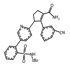 CC(C)(C)NS(=O)(=O)c1ccccc1-c1ccc(C2CCC(C(N)=O)=C2c2cccc(C#N)c2)nc1